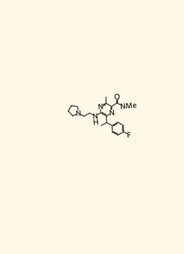 CNC(=O)c1nc(C(C)c2ccc(F)cc2)c(NCCN2CCCC2)nc1C